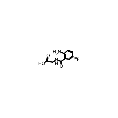 Nc1ccc([18F])cc1C(=O)NCC(=O)O